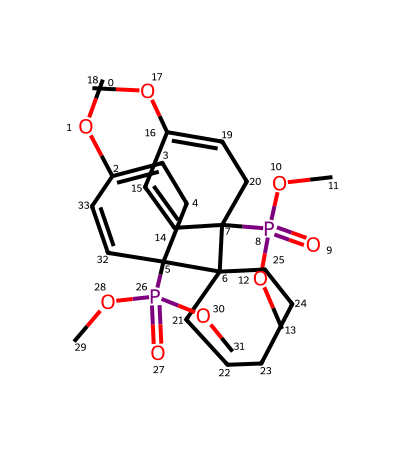 COC1=CCC(C2(C3(P(=O)(OC)OC)C=CC(OC)=CC3)CCCCC2)(P(=O)(OC)OC)C=C1